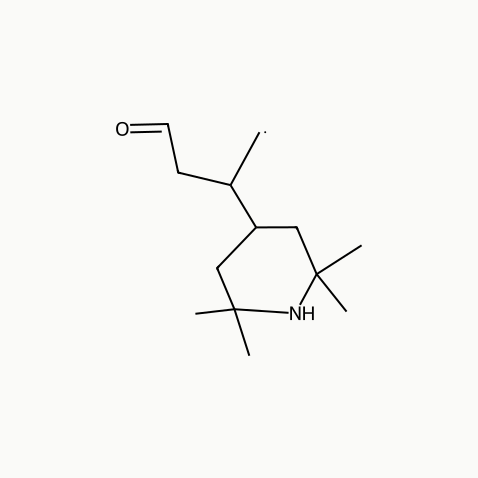 [CH2]C(CC=O)C1CC(C)(C)NC(C)(C)C1